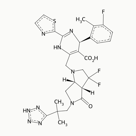 Cc1c(F)cccc1[C@@H]1N=C(c2nccs2)NC(CN2CC(F)(F)[C@@H]3C(=O)N(CC(C)(C)c4nn[nH]n4)C[C@@H]32)=C1C(=O)O